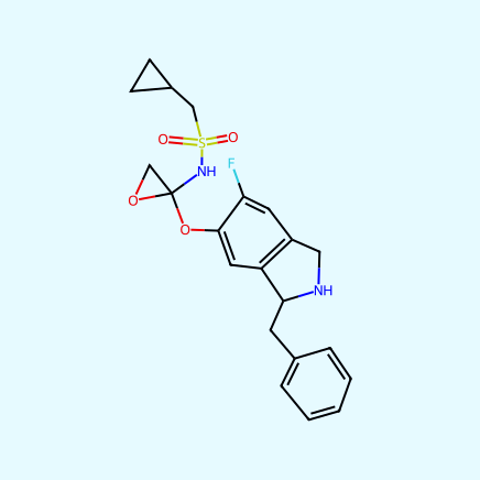 O=S(=O)(CC1CC1)NC1(Oc2cc3c(cc2F)CNC3Cc2ccccc2)CO1